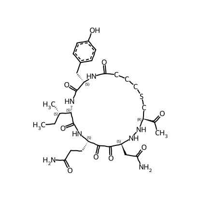 CC[C@H](C)[C@@H]1NC(=O)[C@H](Cc2ccc(O)cc2)NC(=O)CCCSC[C@@H](C(C)=O)NN[C@@H](CC(N)=O)C(=O)C(=O)[C@H](CCC(N)=O)NC1=O